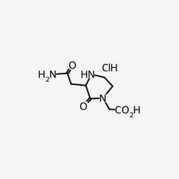 Cl.NC(=O)CC1NCCN(CC(=O)O)C1=O